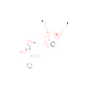 C#CCCCCOC(=O)OCc1cnc(C)c(OC(=O)CCC/C=C\C[C@@H]2[C@@H](CC[C@@H](O)CCc3ccccc3)[C@H](O)C[C@@H]2O)c1COC(=O)OCCCCC#C